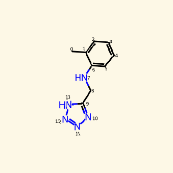 Cc1ccccc1NCc1nnn[nH]1